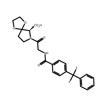 O=C(NCC(=O)N1CCC2(OCCO2)[C@H]1C(=O)O)c1ccc(C(F)(F)c2ccccc2)cc1